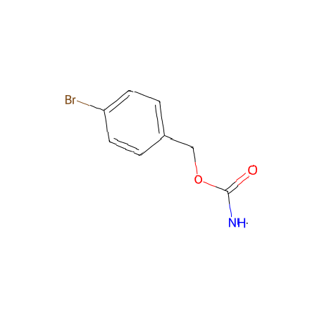 [NH]C(=O)OCc1ccc(Br)cc1